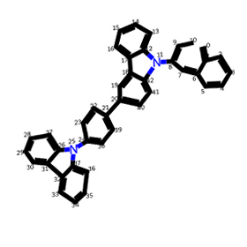 C=c1cccc/c1=C/C(=C\C)n1c2ccccc2c2cc(-c3ccc(-n4c5ccccc5c5ccccc54)cc3)ccc21